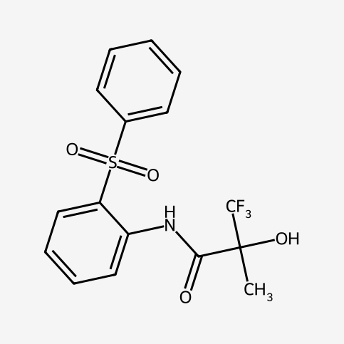 CC(O)(C(=O)Nc1ccccc1S(=O)(=O)c1ccccc1)C(F)(F)F